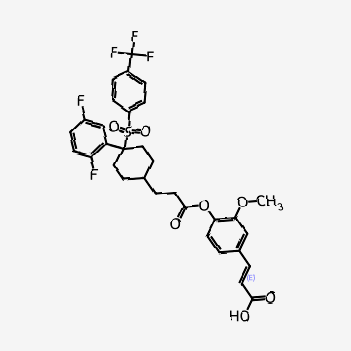 COc1cc(/C=C/C(=O)O)ccc1OC(=O)CCC1CCC(c2cc(F)ccc2F)(S(=O)(=O)c2ccc(C(F)(F)F)cc2)CC1